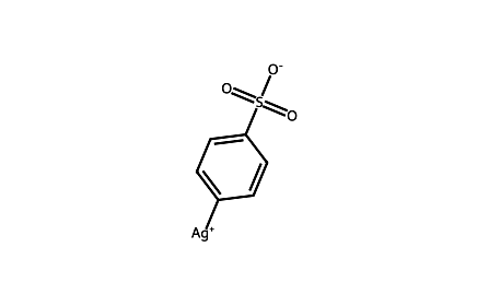 O=S(=O)([O-])c1cc[c]([Ag+])cc1